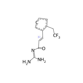 NC(N)=NC(=O)/C=C/c1ccccc1CC(F)(F)F